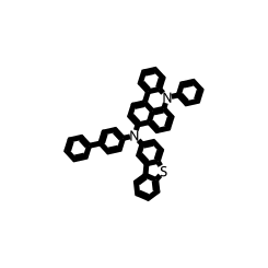 c1ccc(-c2ccc(N(c3ccc4sc5ccccc5c4c3)c3ccc4c5c(cccc35)N(c3ccccc3)c3ccccc3-4)cc2)cc1